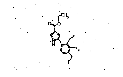 CCOC(=O)c1c[nH]c(-c2ccc(CF)c(CF)c2CF)c1